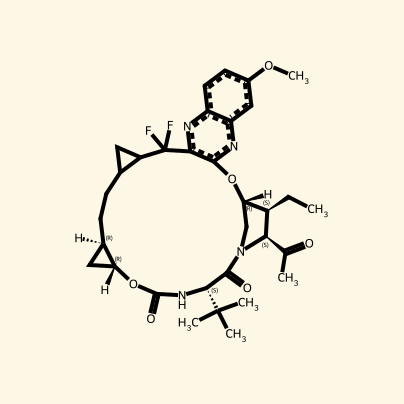 CC[C@@H]1[C@@H]2CN(C(=O)[C@H](C(C)(C)C)NC(=O)O[C@@H]3C[C@H]3CCC3CC3C(F)(F)c3nc4ccc(OC)cc4nc3O2)[C@@H]1C(C)=O